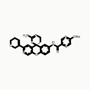 COc1cnc(C(=O)Nc2ccc3c(c2)[C@@]2(CCN=C(N)S2)c2cc(C4=CCCOC4)ncc2O3)cn1